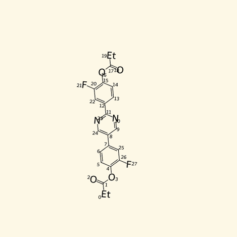 CCC(=O)Oc1ccc(-c2cnc(-c3ccc(OC(=O)CC)c(F)c3)nc2)cc1F